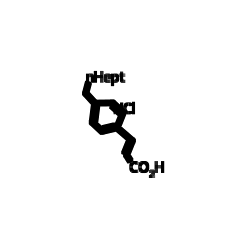 CCCCCCCCc1ccc(C=CC(=O)O)cc1.Cl